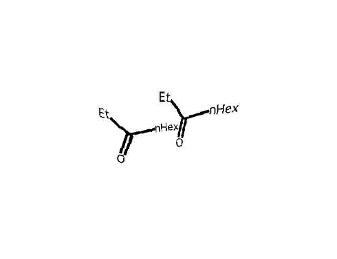 CCCCCCC(=O)CC.CCCCCCC(=O)CC